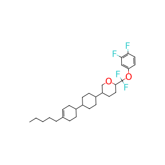 CCCCCC1=CCC(C2CCC(C3CCC(C(F)(F)Oc4ccc(F)c(F)c4)OC3)CC2)CC1